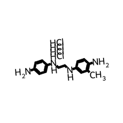 Cc1cc(NCCNc2ccc(N)cc2)ccc1N.Cl.Cl.Cl.Cl